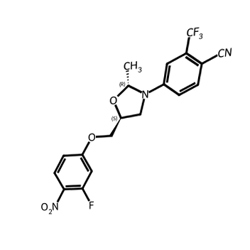 C[C@H]1O[C@H](COc2ccc([N+](=O)[O-])c(F)c2)CN1c1ccc(C#N)c(C(F)(F)F)c1